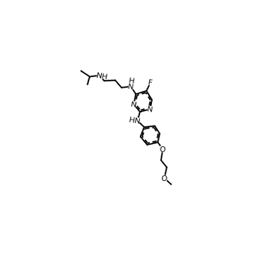 COCCOc1ccc(Nc2ncc(F)c(NCCCNC(C)C)n2)cc1